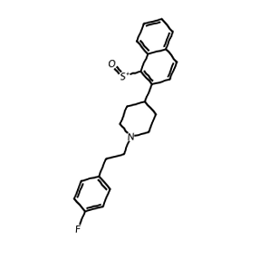 O=[S+]c1c(C2CCN(CCc3ccc(F)cc3)CC2)ccc2ccccc12